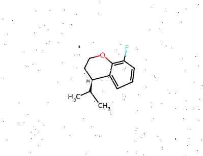 CC(C)[C@H]1CCOc2c(F)cccc21